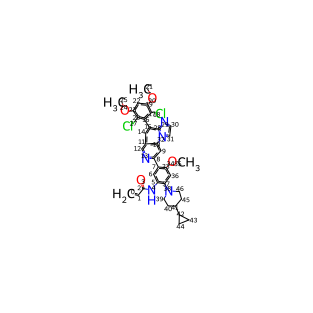 C=CC(=O)Nc1cc(-c2cc3c(cn2)cc(-c2c(Cl)c(OC)cc(OC)c2Cl)c2nccn23)c(OC)cc1N1CCC(C2CC2)CC1